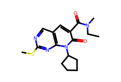 CCN(C)C(=O)c1cc2cnc(SC)nc2n(C2CCCC2)c1=O